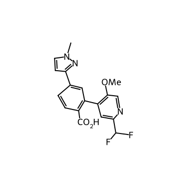 COc1cnc(C(F)F)cc1-c1cc(-c2ccn(C)n2)ccc1C(=O)O